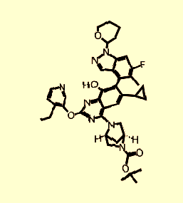 CCc1ccncc1Oc1nc(N2C[C@@H]3C[C@H]2CN3C(=O)OC(C)(C)C)c2cc(C3CC3)c(-c3c(C)c(F)cc4c3cnn4C3CCCCO3)c(O)c2n1